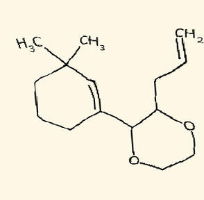 C=CCC1OCCOC1C1=CC(C)(C)CCC1